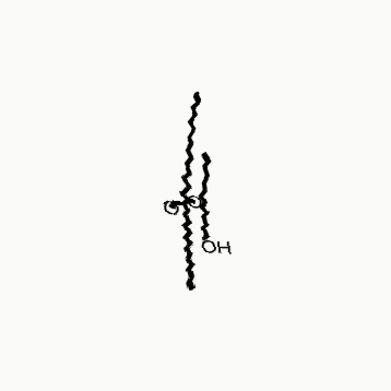 C=CCCCCCCCCCCCCCC(=O)C(C=O)CCCCCCCCCCCCCC=C.C=CCCCCCCCCCCCCCO